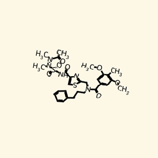 COc1cc(C(=O)N(CCCc2ccccc2)Cc2nc(C(=O)NS(=O)(=O)N(C)N(C)C(C)=O)cs2)cc(OC)c1C